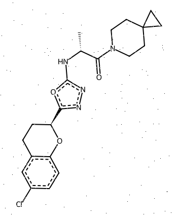 C[C@@H](Nc1nnc([C@@H]2CCc3cc(Cl)ccc3O2)o1)C(=O)N1CCC2(CC1)CC2